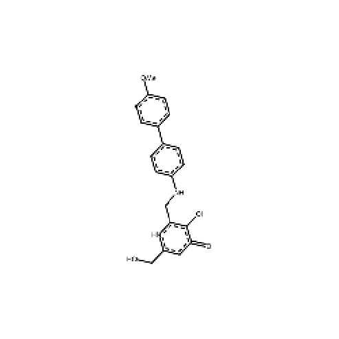 COc1ccc(-c2ccc(NCc3[nH]c(CO)cc(=O)c3O)cc2)cc1